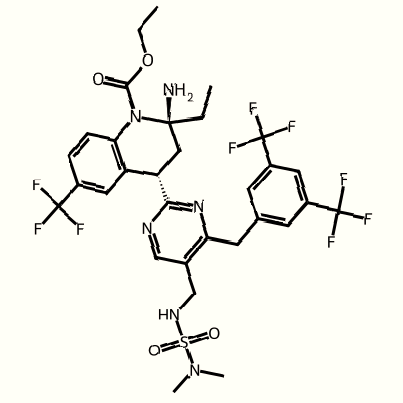 CCOC(=O)N1c2ccc(C(F)(F)F)cc2[C@@H](c2ncc(CNS(=O)(=O)N(C)C)c(Cc3cc(C(F)(F)F)cc(C(F)(F)F)c3)n2)C[C@@]1(N)CC